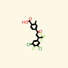 Cc1cc(C(=O)C=C(c2cc(Cl)c(F)c(Cl)c2)C(F)(F)F)ccc1C(=O)O